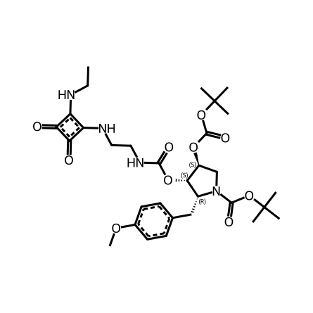 CCNc1c(NCCNC(=O)O[C@@H]2[C@@H](OC(=O)OC(C)(C)C)CN(C(=O)OC(C)(C)C)[C@@H]2Cc2ccc(OC)cc2)c(=O)c1=O